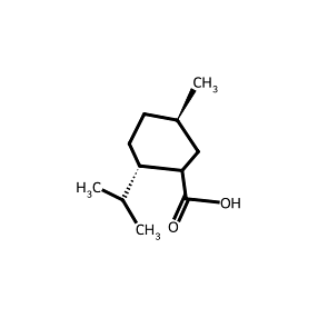 CC(C)[C@@H]1CC[C@@H](C)CC1C(=O)O